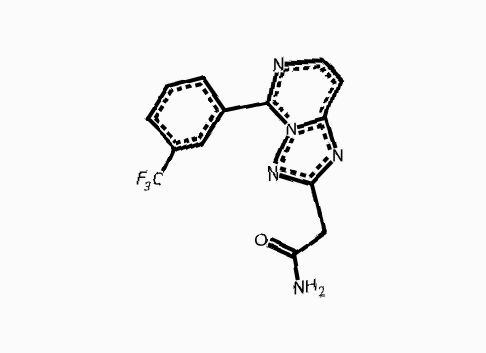 NC(=O)Cc1nc2ccnc(-c3cccc(C(F)(F)F)c3)n2n1